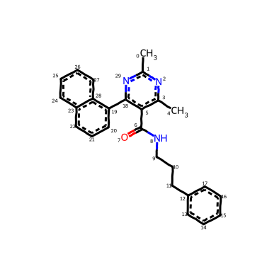 Cc1nc(C)c(C(=O)NCCCc2ccccc2)c(-c2cccc3ccccc23)n1